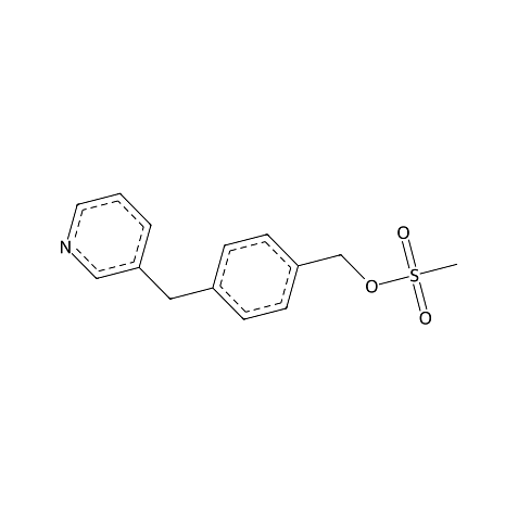 CS(=O)(=O)OCc1ccc(Cc2cccnc2)cc1